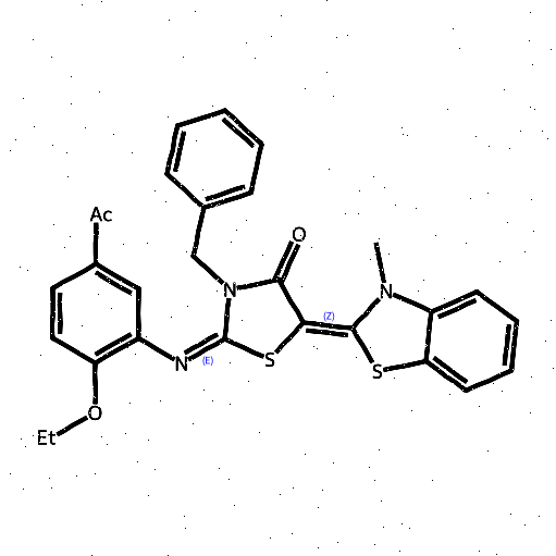 CCOc1ccc(C(C)=O)cc1/N=C1/S/C(=C2\Sc3ccccc3N2C)C(=O)N1Cc1ccccc1